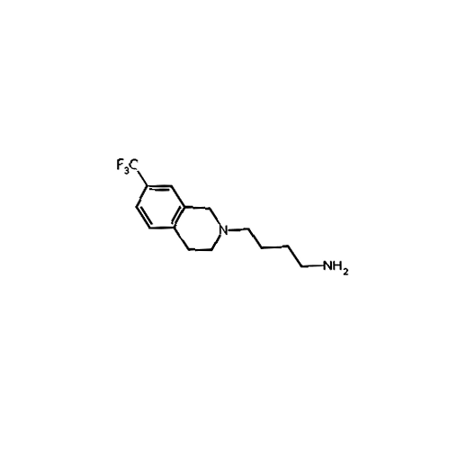 NCCCCN1CCc2ccc(C(F)(F)F)cc2C1